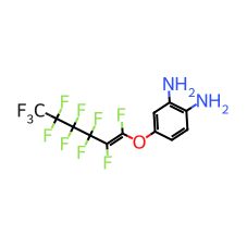 Nc1ccc(OC(F)=C(F)C(F)(F)C(F)(F)C(F)(F)C(F)(F)F)cc1N